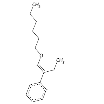 CCCCCCO[C]=C(CC)c1[c]cccc1